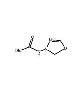 CC(C)(C)C(=O)NN1COC=N1